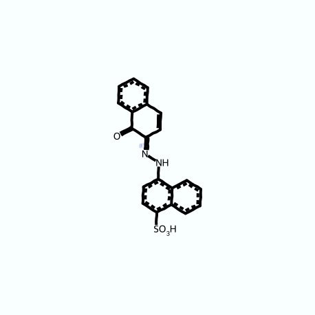 O=C1/C(=N/Nc2ccc(S(=O)(=O)O)c3ccccc23)C=Cc2ccccc21